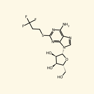 Nc1nc(SCCC(F)(F)F)nc2c1ncn2[C@@H]1O[C@H](CO)[C@@H](O)[C@H]1O